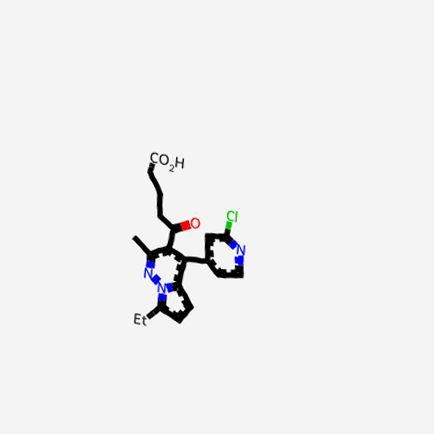 CCc1ccc2c(-c3ccnc(Cl)c3)c(C(=O)CCCC(=O)O)c(C)nn12